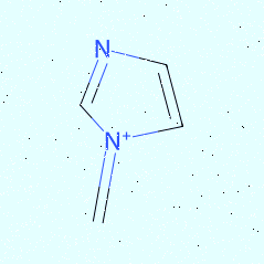 C=[N+]1C=CN=C1